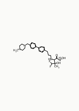 CN1CCN(Cc2ccc(-c3ccc(CCCNC(C(=O)NO)C(C)(O)C(F)F)cc3)cc2)CC1